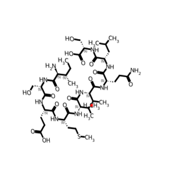 CC[C@H](C)[C@H](N)C(=O)N[C@@H](CO)C(=O)N[C@@H](CCC(=O)O)C(=O)N[C@@H](CCSC)C(=O)N[C@H](C(=O)N[C@H](C(=O)N[C@@H](CCC(N)=O)C(=O)N[C@@H](CC(C)C)C(=O)N[C@@H](CO)C(=O)O)C(C)C)C(C)C